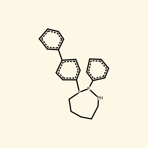 c1ccc(-c2ccc(P3CCCCCPP3c3ccccc3)cc2)cc1